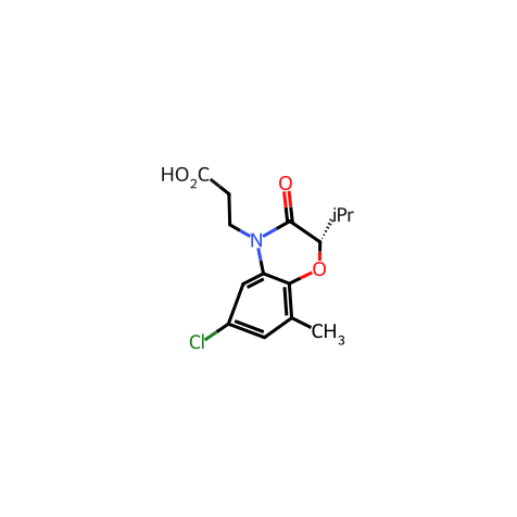 Cc1cc(Cl)cc2c1O[C@@H](C(C)C)C(=O)N2CCC(=O)O